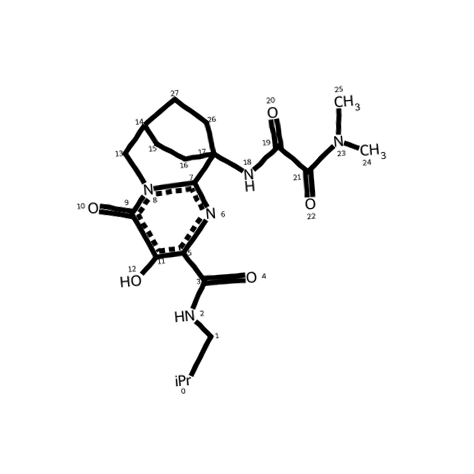 CC(C)CNC(=O)c1nc2n(c(=O)c1O)CC1CCC2(NC(=O)C(=O)N(C)C)CC1